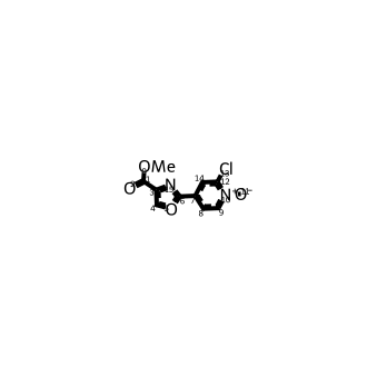 COC(=O)c1coc(-c2cc[n+]([O-])c(Cl)c2)n1